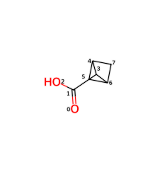 O=C(O)C1C2CC1C2